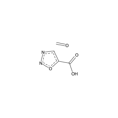 C=O.O=C(O)c1cnno1